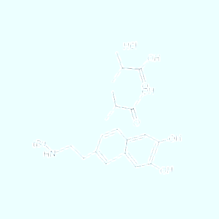 CC(C)(C)NCCc1ccc2cc(O)c(O)cc2c1.CC(C)C(=O)O.CC(C)C(=O)O.Cl